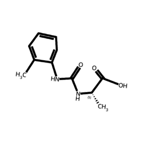 Cc1ccccc1NC(=O)N[C@@H](C)C(=O)O